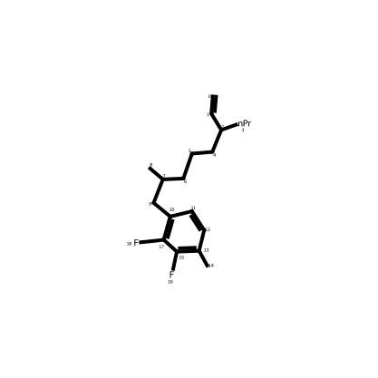 C=CC(CCC)CCCC(C)Cc1ccc(C)c(F)c1F